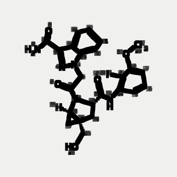 NC(=O)c1nn(CC(=O)N2[C@H](C(=O)Nc3cccc(OC(F)(F)F)c3F)C[C@@]3(CO)C[C@@H]23)c2ccccc12